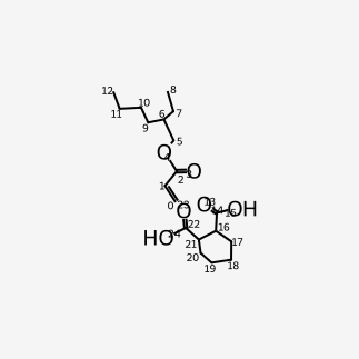 C=CC(=O)OCC(CC)CCCC.O=C(O)C1CCCCC1C(=O)O